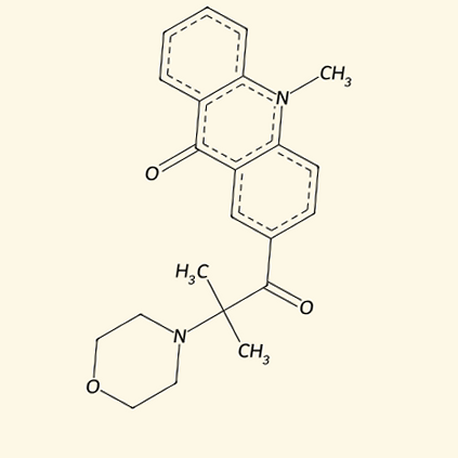 Cn1c2ccccc2c(=O)c2cc(C(=O)C(C)(C)N3CCOCC3)ccc21